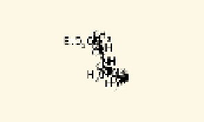 CCOC(=O)c1nc(NC(=O)CCNC(=O)c2cc(NC(=O)c3nccn3C)cn2C)cn1C